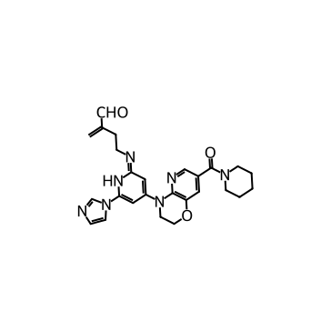 C=C(C=O)CC/N=c1/cc(N2CCOc3cc(C(=O)N4CCCCC4)cnc32)cc(-n2ccnc2)[nH]1